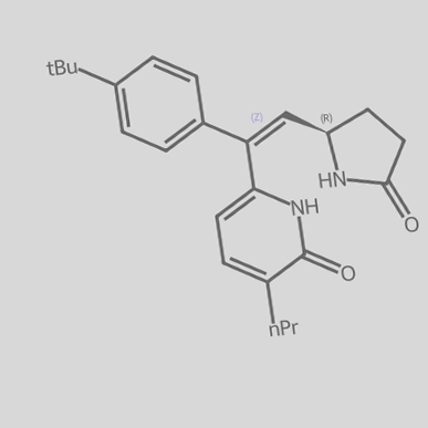 CCCc1ccc(/C(=C\[C@H]2CCC(=O)N2)c2ccc(C(C)(C)C)cc2)[nH]c1=O